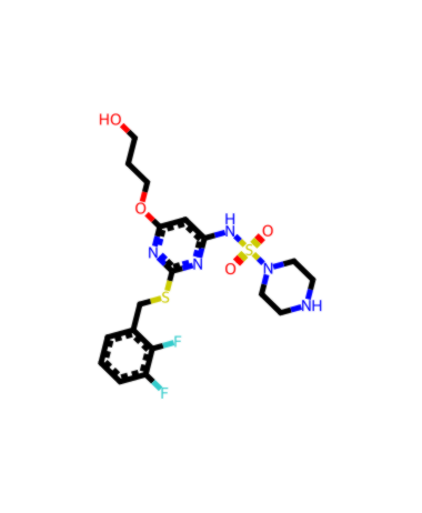 O=S(=O)(Nc1cc(OCCCO)nc(SCc2cccc(F)c2F)n1)N1CCNCC1